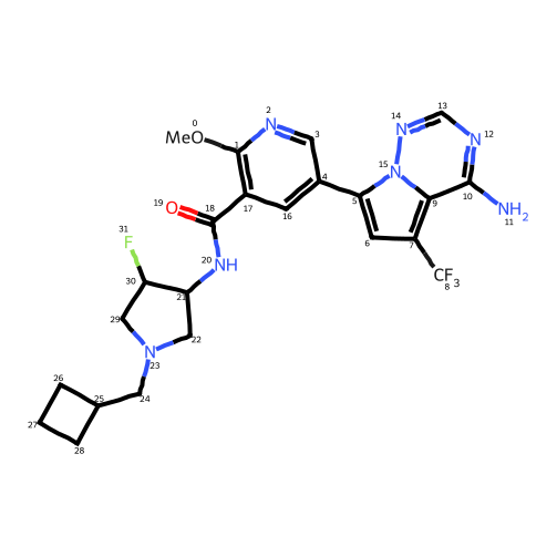 COc1ncc(-c2cc(C(F)(F)F)c3c(N)ncnn23)cc1C(=O)NC1CN(CC2CCC2)CC1F